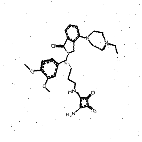 CCN1CCN(c2cccc3c2CN([C@H](CCCNc2c(N)c(=O)c2=O)c2ccc(OC)c(OC)c2)C3=O)CC1